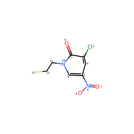 O=c1c(Cl)cc([N+](=O)[O-])cn1CCF